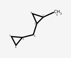 CC1C[C]1CC1CC1